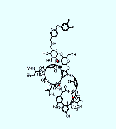 CN[C@H](CC(C)C)C(=O)NC1C(=O)N[C@@H](CC(N)=O)C(=O)N[C@H]2C(=O)N[C@H]3C(=O)N[C@H](C(=O)NC(C(=O)O)c4cc(O)cc(O)c4-c4cc3ccc4O)[C@H](C3C[C@](C)(N)[C@@H](O)[C@H](C)O3)c3ccc(c(Cl)c3)Oc3cc2cc(c3O[C@@H]2O[C@H](CO)[C@@H](O[C@@H]3O[C@H](CNCc4ccc(Oc5ccc(F)c(F)c5)nc4)[C@H](O)[C@H](O)[C@H]3O)[C@H](O)[C@H]2O)Oc2ccc(cc2Cl)[C@H]1O